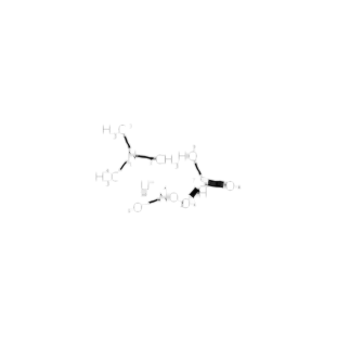 CN(C)C.O=[N+]([O-])[O-].O=[SH](=O)O.[Li+]